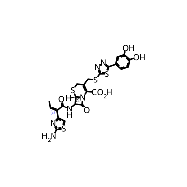 C/C=C(\C(=O)NC1C(=O)N2C(C(=O)O)=C(CSc3nnc(-c4ccc(O)c(O)c4)s3)CS[C@@H]12)c1csc(N)n1